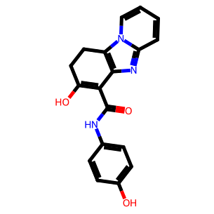 O=C(Nc1ccc(O)cc1)C1=C(O)CCc2c1nc1ccccn21